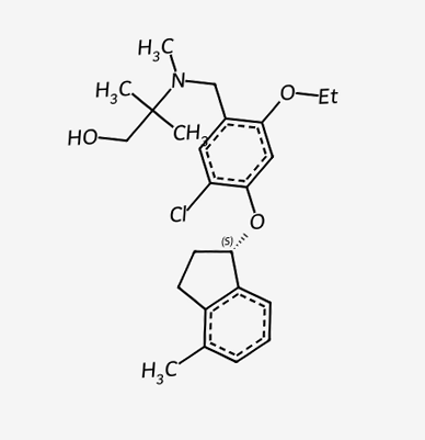 CCOc1cc(O[C@H]2CCc3c(C)cccc32)c(Cl)cc1CN(C)C(C)(C)CO